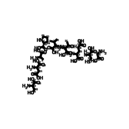 CC(C)C(N)C(=O)O.CC(N)C(=O)O.CC(O)C(N)C(=O)O.NC(CC(=O)O)C(=O)O.NC(CCC(=O)O)C(=O)O.NC(CO)C(=O)O.NC(CS)C(=O)O.NCC(=O)O.O=C(O)[C@@H]1CCCN1